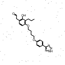 CCCc1c(OCCCCOc2ccc(-c3nn[nH]n3)cc2)ccc(CC=O)c1O